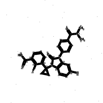 CN(C)C(=O)c1ccc(-n2c(=O)n(C3(c4cccc(C(=O)O)c4F)CC3)c3ccc(Cl)cc32)cc1